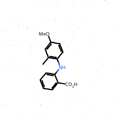 COc1ccc(Nc2ccccc2C(=O)O)c(C)c1